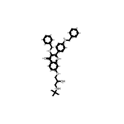 CC(C)(C)NCC(O)COc1ccc2c(=O)c(OCc3ccccc3)c(-c3ccc(OCc4ccccc4)cc3)oc2c1